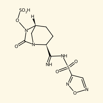 N=C(NS(=O)(=O)c1cnon1)[C@@H]1CC[C@@H]2CN1C(=O)N2OS(=O)(=O)O